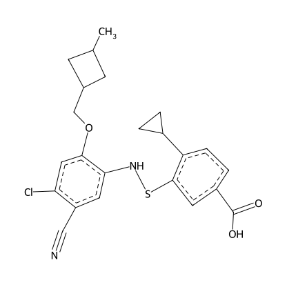 CC1CC(COc2cc(Cl)c(C#N)cc2NSc2cc(C(=O)O)ccc2C2CC2)C1